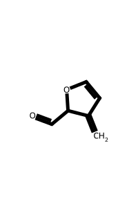 C=C1C=COC1C=O